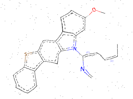 C=N/C(=C\C=C/C)n1c2cc(OC)ccc2c2cc3sc4ccccc4c3cc21